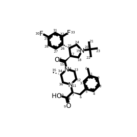 Cc1cccc(C[C@@H](C(=O)O)N2CCN(C(=O)[C@@H]3CN(C(C)(C)C)C[C@H]3c3ccc(F)cc3F)[C@@H](C)C2)c1